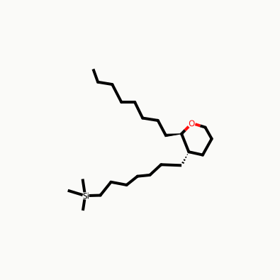 CCCCCCCC[C@H]1OCCC[C@@H]1CCCCCCC[Si](C)(C)C